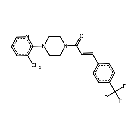 Cc1cccnc1N1CCN(C(=O)C=Cc2ccc(C(F)(F)F)cc2)CC1